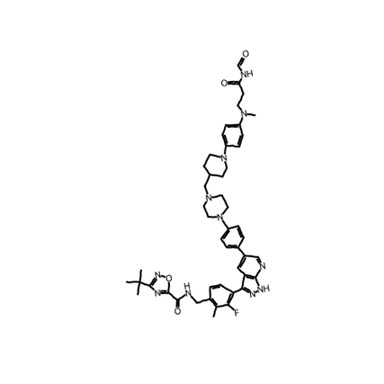 Cc1c(CNC(=O)c2nc(C(C)(C)C)no2)ccc(-c2n[nH]c3ncc(-c4ccc(N5CCN(CC6CCN(c7ccc(N(C)CCC(=O)NC=O)cc7)CC6)CC5)cc4)cc23)c1F